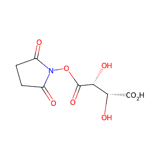 O=C(O)[C@H](O)[C@@H](O)C(=O)ON1C(=O)CCC1=O